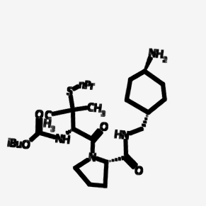 CCCSC(C)(C)[C@@H](NC(=O)OCC(C)C)C(=O)N1CCC[C@H]1C(=O)NC[C@H]1CC[C@H](N)CC1